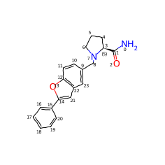 NC(=O)[C@@H]1CCCN1Cc1ccc2oc(-c3ccccc3)cc2c1